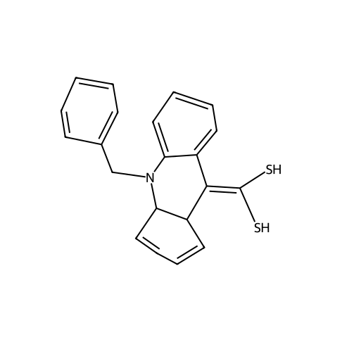 SC(S)=C1c2ccccc2N(Cc2ccccc2)C2C=CC=CC12